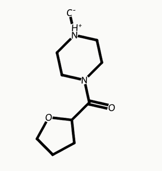 [CH2-][NH+]1CCN(C(=O)C2CCCO2)CC1